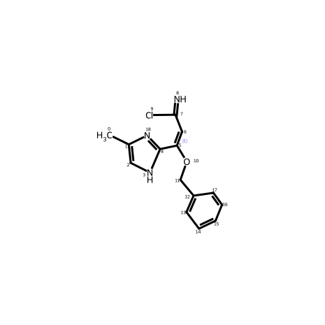 Cc1c[nH]c(/C(=C\C(=N)Cl)OCc2ccccc2)n1